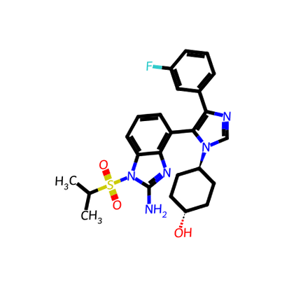 CC(C)S(=O)(=O)n1c(N)nc2c(-c3c(-c4cccc(F)c4)ncn3[C@H]3CC[C@H](O)CC3)cccc21